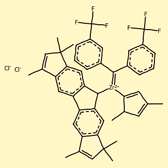 CC1=CC(C)[C]([Zr+2](=[C](c2cccc(C(F)(F)F)c2)c2cccc(C(F)(F)F)c2)[CH]2c3cc4c(cc3-c3cc5c(cc32)C(C)(C)C=C5C)C(C)=CC4(C)C)=C1.[Cl-].[Cl-]